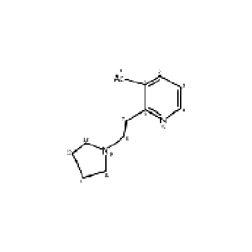 CC(=O)c1cccnc1CCN1CCCC1